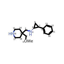 COCC1(CN[C@@H]2CC2c2ccccc2)CCNCC1